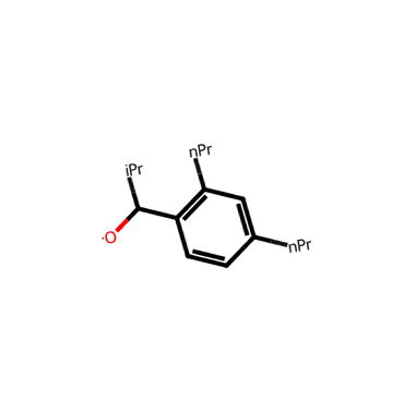 CCCc1ccc(C([O])C(C)C)c(CCC)c1